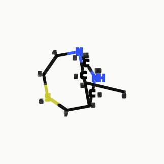 CC1CN2CCSCC1CNC2